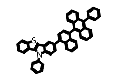 c1ccc(-c2c3ccccc3c(-c3ccc(-c4ccc5c(c4)c4sc6ccccc6c4n5-c4ccccc4)c4ccccc34)c3ccccc23)cc1